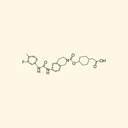 Cc1ccc(NC(=O)Nc2ccc3c(c2)CCN(C(=O)OC2CCC(CC(=O)O)CC2)C3)cc1F